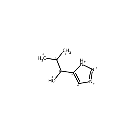 CC(C)C(O)c1cnn[nH]1